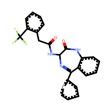 O=C(Cc1ccccc1C(F)(F)F)NC1N=C(c2ccccc2)c2ccccc2NC1=O